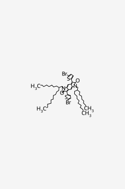 CCCCCCCCCCC(CCCCCCCC)CN1C(=O)C(c2ccc(Br)s2)=c2cc3c(cc21)=C(c1ccc(Br)s1)C(=O)N3CC(CCCCCCCC)CCCCCCCCCC